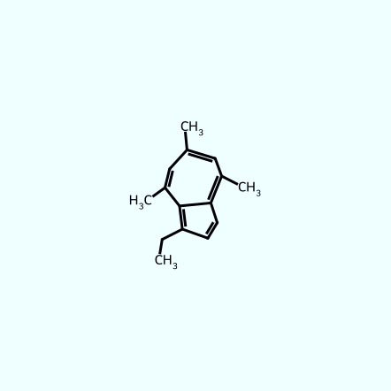 CCc1ccc2c(C)cc(C)cc(C)c1-2